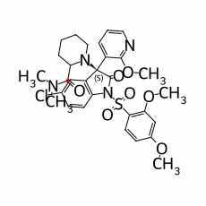 COc1ccc(S(=O)(=O)N2C(=O)[C@](c3cccnc3OC)(N3CCCCC3C(=O)N(C)C)c3cc(Cl)ccc32)c(OC)c1